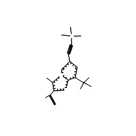 C[Si](C)(C)C#Cc1cc(C(F)(F)F)c2nc(C(=O)O)c(Cl)n2c1